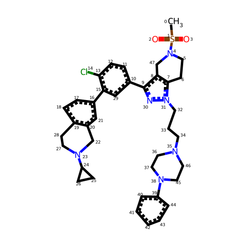 CS(=O)(=O)N1CCc2c(c(-c3ccc(Cl)c(-c4ccc5c(c4)CN(C4CC4)CC5)c3)nn2CCCN2CCN(c3ccccc3)CC2)C1